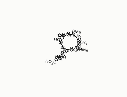 CNC(=O)C[C@@H]1NC(=O)c2csc(n2)-c2ccc(-c3nc(NC(=O)O[C@H]4C[C@@H](C(=O)O)C[C@@H]4N)cs3)nc2-c2csc(n2)-c2csc(n2)[C@H]([C@@H](O)c2ccccc2)NC(=O)CNC(=O)c2nc(sc2COC)[C@H](C(C)C)NC(=O)c2nc1sc2C